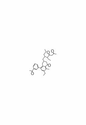 CCCC(CC1CC(=O)c2c(C)c(CC)cc(-c3cccc(C(C)=O)c3)c2C1)C(CC)C(=O)CC(C)=O